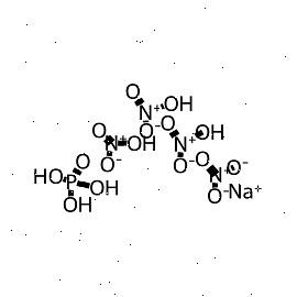 O=P(O)(O)O.O=[N+]([O-])O.O=[N+]([O-])O.O=[N+]([O-])O.O=[N+]([O-])[O-].[Na+]